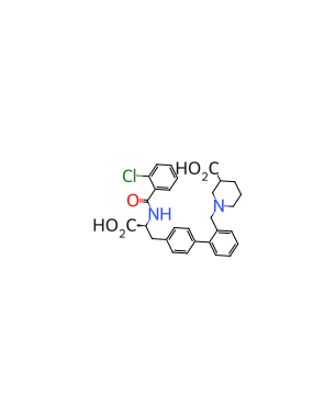 O=C(N[C@@H](Cc1ccc(-c2ccccc2CN2CCCC(C(=O)O)C2)cc1)C(=O)O)c1ccccc1Cl